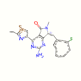 Cc1nc(-c2nc(N)nc3c2C(=O)N(C)/C3=C/c2ccccc2F)cs1